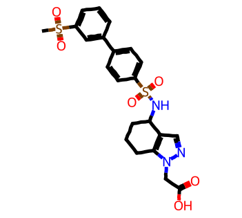 CS(=O)(=O)c1cccc(-c2ccc(S(=O)(=O)NC3CCCc4c3cnn4CC(=O)O)cc2)c1